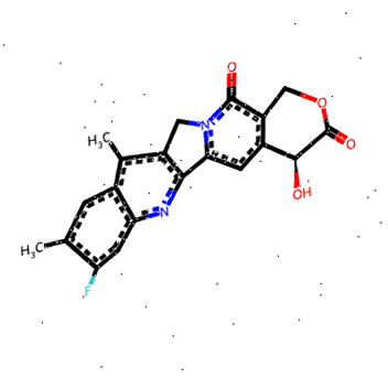 Cc1cc2c(C)c3c(nc2cc1F)-c1cc2c(c(=O)n1C3)COC(=O)[C@H]2O